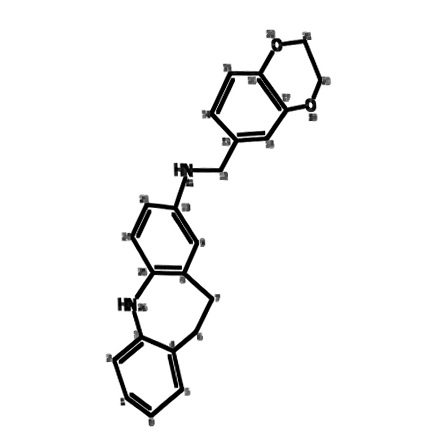 c1ccc2c(c1)CCc1cc(NCc3ccc4c(c3)OCCO4)ccc1N2